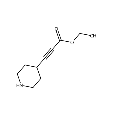 CCOC(=O)C#CC1CCNCC1